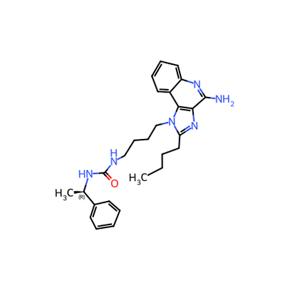 CCCCc1nc2c(N)nc3ccccc3c2n1CCCCNC(=O)N[C@H](C)c1ccccc1